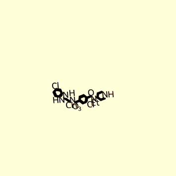 CCN(C(=O)c1ccc(C(=O)NC(C)c2nc3cc(Cl)ccc3[nH]2)cc1Cl)C1CCNCC1